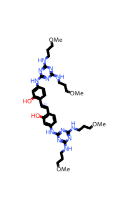 COCCCNc1nc(NCCCOC)nc(Nc2ccc(/C=C/c3ccc(Nc4nc(NCCCOC)nc(NCCCOC)n4)cc3O)c(O)c2)n1